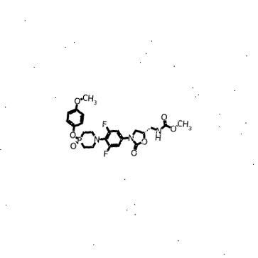 COC(=O)NC[C@H]1CN(c2cc(F)c(N3CCP(=O)(Oc4ccc(OC)cc4)CC3)c(F)c2)C(=O)O1